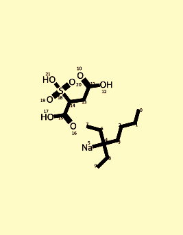 CCCC[C]([Na])(CC)CC.O=C(O)CC(C(=O)O)S(=O)(=O)O